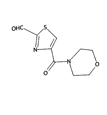 O=Cc1nc(C(=O)N2CCOCC2)cs1